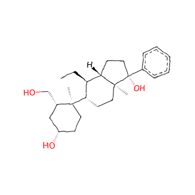 CC[C@@H]1[C@@H]([C@@]2(C)CC[C@H](O)C[C@@H]2CO)CC[C@@]2(C)[C@H]1CC[C@@]2(O)c1ccccc1